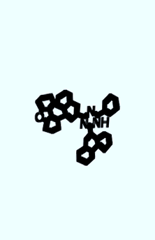 c1ccc(C2N=C(c3cc(-c4cccc5oc6ccccc6c45)c4ccccc4c3)N=C(c3cc4ccccc4c4ccccc34)N2)cc1